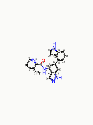 CC(C)c1cccnc1C(=O)Nc1cc(-c2cccc3[nH]ccc23)cc2[nH]ncc12